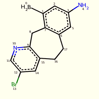 Bc1cc(N)cc2c1Cc1ncc(Br)cc1CC2